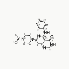 CC(=O)N1CCN(c2cc3nc[nH]c(=O)c3c(Nc3cccnc3)n2)CC1